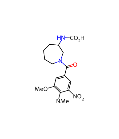 CNc1c(OC)cc(C(=O)N2CCCCC(NC(=O)O)C2)cc1[N+](=O)[O-]